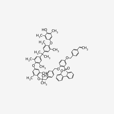 C=Cc1ccc(COc2ccc(OCc3ccc(CC(C)(C)Oc4c(C)cc(Oc5c(C)cc(C(C)(C)c6cc(C)c(Oc7cc(C)c(O)c(C)c7)c(C)c6)cc5C)cc4C)cc3)c(P3(=O)Oc4ccccc4-c4ccccc43)c2)cc1